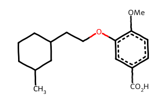 COc1ccc(C(=O)O)cc1OCCC1CCCC(C)C1